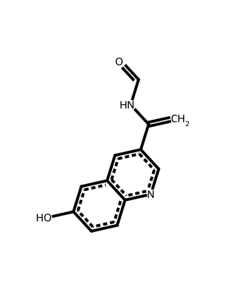 C=C(NC=O)c1cnc2ccc(O)cc2c1